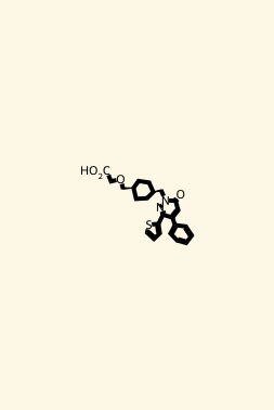 O=C(O)COC[C@H]1CC[C@@H](Cn2nc(-c3cccs3)c(-c3ccccc3)cc2=O)CC1